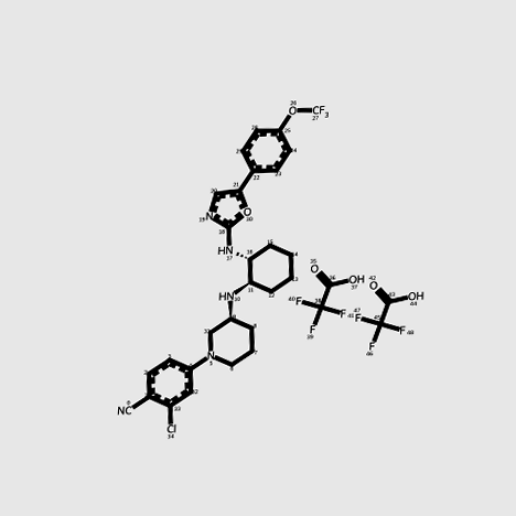 N#Cc1ccc(N2CCC[C@H](N[C@@H]3CCCC[C@H]3Nc3ncc(-c4ccc(OC(F)(F)F)cc4)o3)C2)cc1Cl.O=C(O)C(F)(F)F.O=C(O)C(F)(F)F